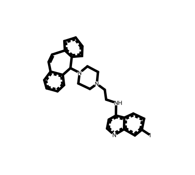 Ic1ccc2c(NCCN3CCN(C4c5ccccc5C=Cc5ccccc54)CC3)ccnc2c1